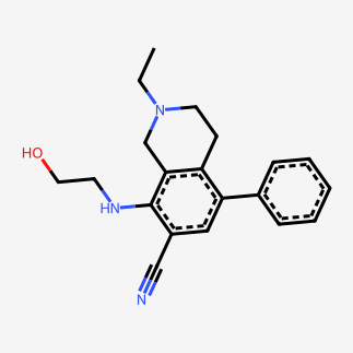 CCN1CCc2c(-c3ccccc3)cc(C#N)c(NCCO)c2C1